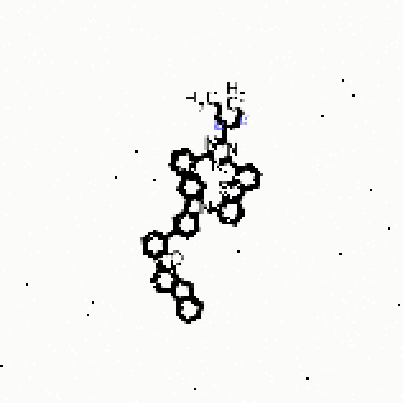 C/C=C\C(=C/CC)c1nc(-c2ccccc2)nc(-c2cccc3c2sc2c(-n4c5ccccc5c5cc(-c6cccc7c6oc6c8c(ccc67)C6=CCCC=C6C8)ccc54)cccc23)n1